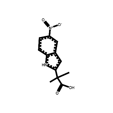 CC(C)(C(=O)O)c1cc2cc([N+](=O)[O-])ccc2[nH]1